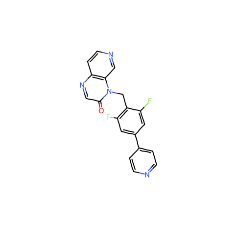 O=c1cnc2ccncc2n1Cc1c(F)cc(-c2ccncc2)cc1F